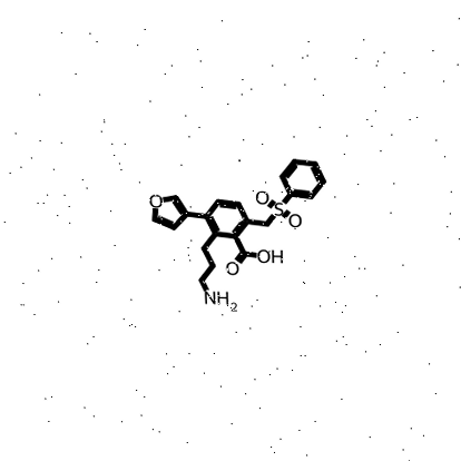 NCCCc1c(-c2ccoc2)ccc(CS(=O)(=O)c2ccccc2)c1C(=O)O